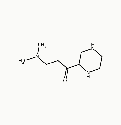 CN(C)CCC(=O)C1CNCCN1